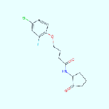 O=C(CCCOc1ccc(Cl)cc1F)NC1CCCC1=O